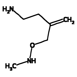 C=C(CCN)CONC